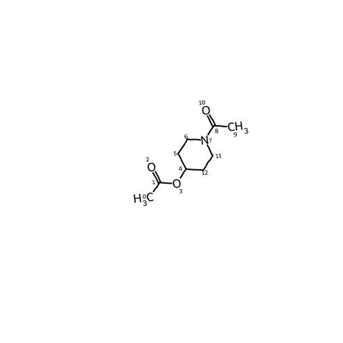 CC(=O)OC1CCN(C(C)=O)CC1